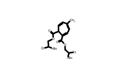 CCCCC(CC)COC(=O)C1=CC=C(C)C=CC1C(=O)OCC(CC)CCCC